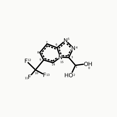 OC(O)c1nnc2ccc(C(F)(F)F)cn12